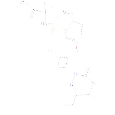 COC(=O)C1(NS(=O)(=O)c2cc(OC3C(Cl)C[C@H]3n3nc(C(F)F)c(=O)[nH]c3=O)ccc2OC)CC1